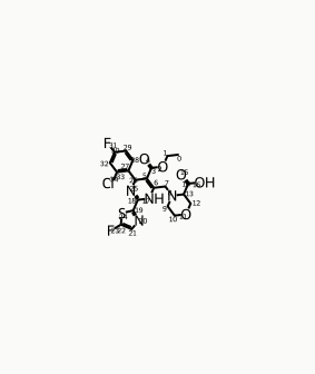 CCOC(=O)C1=C(CN2CCOCC2C(=O)O)NC(c2ncc(F)s2)=NC1c1ccc(F)cc1Cl